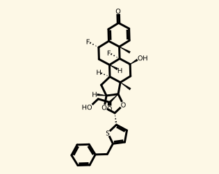 C[C@]12C=CC(=O)C=C1[C@@H](F)C[C@H]1[C@@H]3C[C@H]4O[C@@H](c5ccc(Cc6ccccc6)s5)O[C@@]4(C(=O)CO)[C@@]3(C)C[C@H](O)[C@@]12F